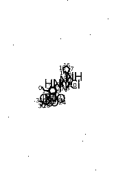 CCc1cc(Nc2ncc(Cl)c(NC3CCCC3)n2)cc(C(=O)OC)c1B1OCC(C)(C)O1